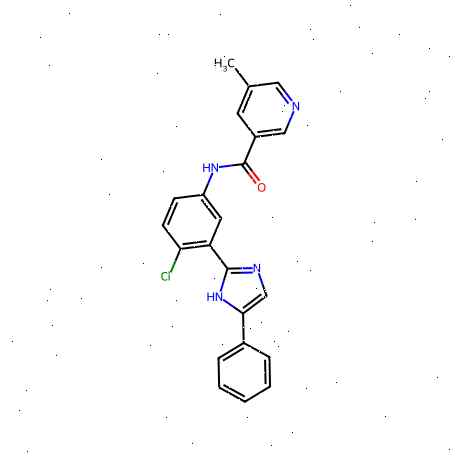 Cc1cncc(C(=O)Nc2ccc(Cl)c(-c3ncc(-c4ccccc4)[nH]3)c2)c1